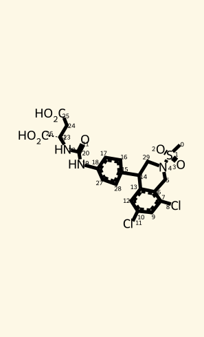 CS(=O)(=O)N1Cc2c(Cl)cc(Cl)cc2C(c2ccc(NC(=O)N[C@@H](CC(=O)O)C(=O)O)cc2)C1